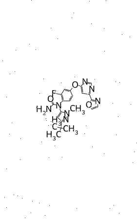 Cn1nc(C(C)(C)C)cc1N(C(N)=O)c1ccc(Oc2cc(-c3ncco3)ncn2)cc1F